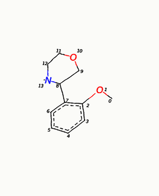 COc1ccccc1C1COCC[N]1